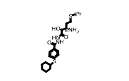 CC(C)SCC[C@@H](N)C(O)C(=O)NNC(=O)c1ccc(SC2CCCCC2)cc1